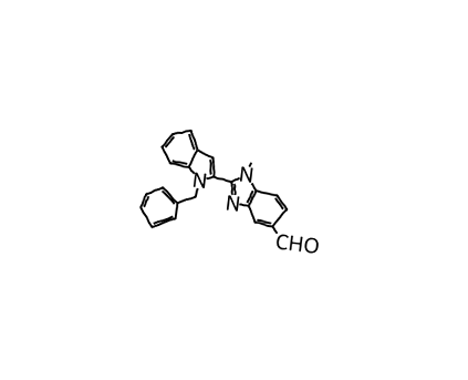 Cn1c(-c2cc3ccccc3n2Cc2ccccc2)nc2cc(C=O)ccc21